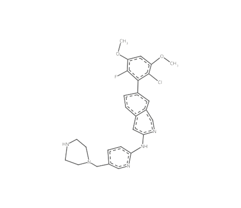 COc1cc(OC)c(Cl)c(-c2ccc3cc(Nc4ccc(CN5CCNCC5)cn4)ncc3c2)c1F